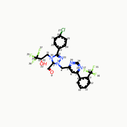 O=CC1N(Cc2cc(-c3ccccc3C(F)(F)F)ncn2)N=C(c2ccc(Cl)cc2)N1C[C@H](O)C(F)(F)F